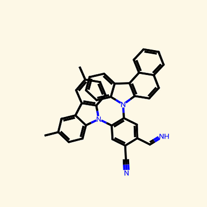 Cc1ccc2c(c1)c1cc(C)ccc1n2-c1cc(C#N)c(C=N)cc1-n1c2ccccc2c2c3ccccc3ccc21